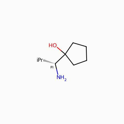 CC(C)[C@@H](N)C1(O)CCCC1